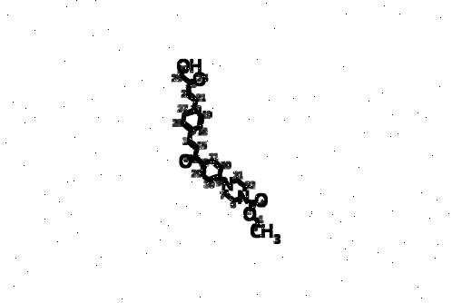 CCOC(=O)N1CCN(c2ccc(C(=O)/C=C/c3ccc(/C=C/C(=O)CO)cc3)cc2)CC1